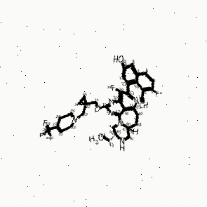 C#Cc1c(F)ccc2cc(O)cc(-c3nc4c5c(nc(OCC6(CN7CCC(C(F)(F)F)CC7)CC6)nc5c3F)N3C[C@@H](CC)NC[C@H]3CC4)c12